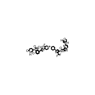 Cn1c(=O)n(C2CCC(=O)NC2=O)c2cccc(C3CN(C4CCN(C[C@H]5CC[C@H](n6cc(NC(=O)c7cnn8ccc(N9C[C@H]%10C[C@@H]9CO%10)nc78)c(C(F)F)n6)CC5)CC4(F)F)C3)c21